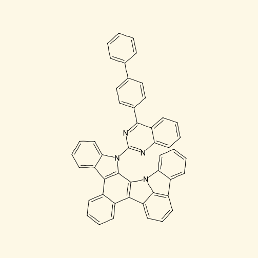 c1ccc(-c2ccc(-c3nc(-n4c5ccccc5c5c6ccccc6c6c7cccc8c9ccccc9n(c87)c6c54)nc4ccccc34)cc2)cc1